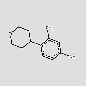 Cc1cc(N)ccc1C1CCOCC1